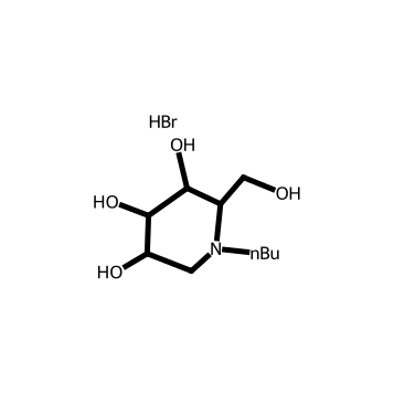 Br.CCCCN1CC(O)C(O)C(O)C1CO